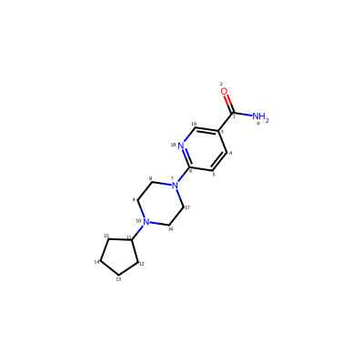 NC(=O)c1ccc(N2CCN(C3CCCC3)CC2)nc1